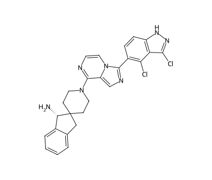 N[C@H]1c2ccccc2CC12CCN(c1nccn3c(-c4ccc5[nH]nc(Cl)c5c4Cl)ncc13)CC2